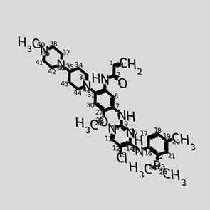 C=CC(=O)Nc1cc(Nc2ncc(Cl)c(Nc3ccc(C)cc3P(C)C)n2)c(OC)cc1N1CCC(N2CCN(C)CC2)CC1